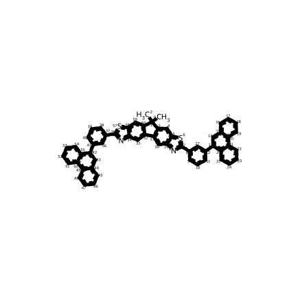 CC1(C)c2cc3sc(-c4cccc(-c5cc6ccccc6c6ccccc56)c4)nc3cc2-c2cc3nc(-c4cccc(-c5cc6ccccc6c6ccccc56)c4)sc3cc21